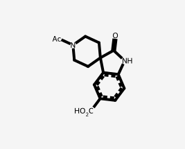 CC(=O)N1CCC2(CC1)C(=O)Nc1ccc(C(=O)O)cc12